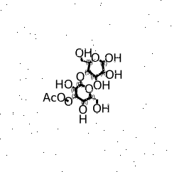 CC(=O)OO[C@@H]1[C@@H](O)[C@@H](O[C@H]2[C@H](O)[C@@H](O)[C@H](O)O[C@@H]2CO)O[C@H](CO)[C@H]1O